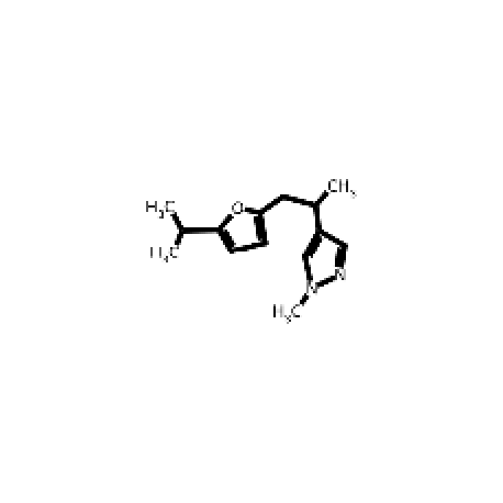 CC(C)c1ccc(CC(C)c2cnn(C)c2)o1